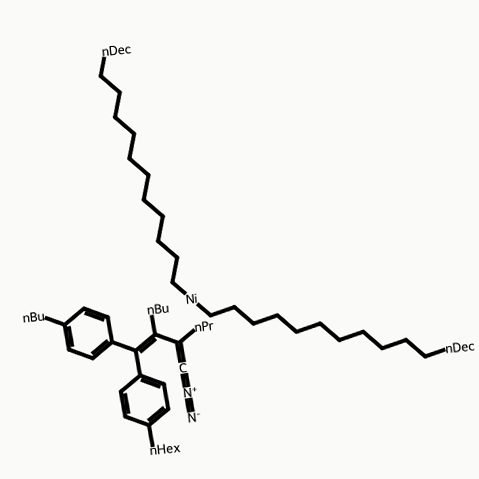 CCCCCCCCCCCCCCCCCCCC[CH2][Ni][CH2]CCCCCCCCCCCCCCCCCCCC.CCCCCCc1ccc(C(=C(CCCC)C(=C=[N+]=[N-])CCC)c2ccc(CCCC)cc2)cc1